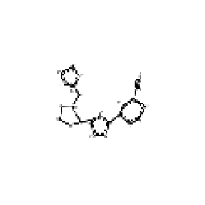 N#Cc1cccc(-c2noc(C3CCCN3Cc3nccs3)n2)c1